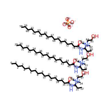 CCCCCCCCCCCCCCCCCC(=O)NC(CC)[N+](C)(C)CCO.CCCCCCCCCCCCCCCCCC(=O)NC(CC)[N+](C)(C)CCO.CCCCCCCCCCCCCCCCCC(=O)NC(CC)[N+](C)(C)CCO.O=P([O-])([O-])[O-]